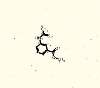 COC(=O)c1cccc(NC(C)=S)c1